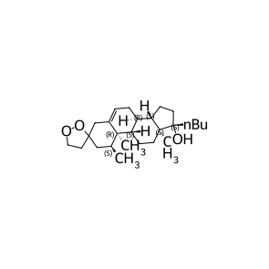 CCCC[C@]1(O)CC[C@H]2[C@@H]3CC=C4CC5(CCOO5)C[C@H](C)[C@]4(C)[C@H]3CC[C@@]21C